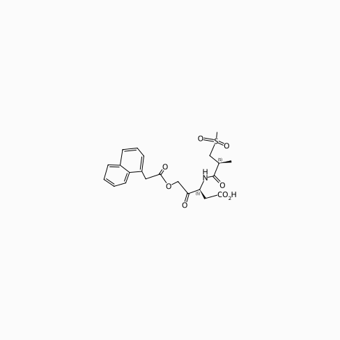 C[C@H](CS(C)(=O)=O)C(=O)N[C@@H](CC(=O)O)C(=O)COC(=O)Cc1cccc2ccccc12